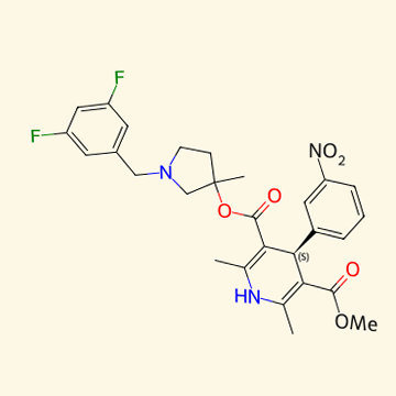 COC(=O)C1=C(C)NC(C)=C(C(=O)OC2(C)CCN(Cc3cc(F)cc(F)c3)C2)[C@H]1c1cccc([N+](=O)[O-])c1